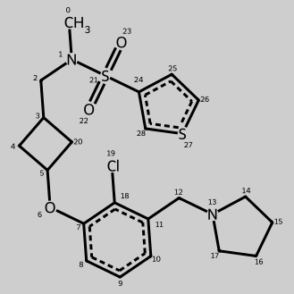 CN(CC1CC(Oc2cccc(CN3CCCC3)c2Cl)C1)S(=O)(=O)c1ccsc1